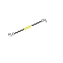 CCCCCCCCCSSSSSCCCCCCCCC